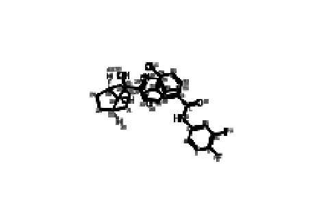 O=C(Nc1ccc(F)c(F)c1)c1ccc(Cl)c(S(=O)(=O)[C@@H]2C[C@H]3CC[C@@H](C2)[C@@]3(O)C(O)c2ccc(F)cn2)c1